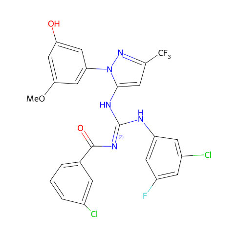 COc1cc(O)cc(-n2nc(C(F)(F)F)cc2N/C(=N\C(=O)c2cccc(Cl)c2)Nc2cc(F)cc(Cl)c2)c1